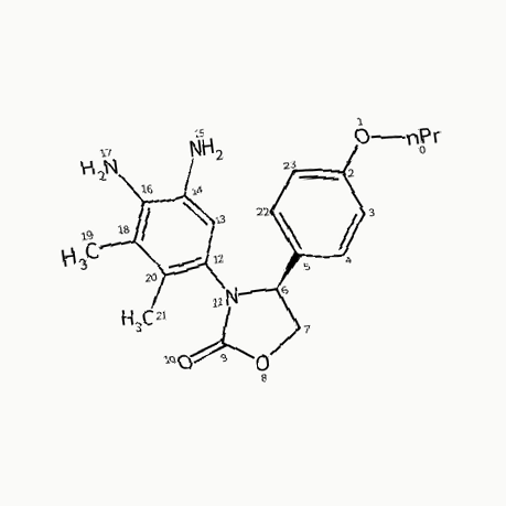 CCCOc1ccc([C@H]2COC(=O)N2c2cc(N)c(N)c(C)c2C)cc1